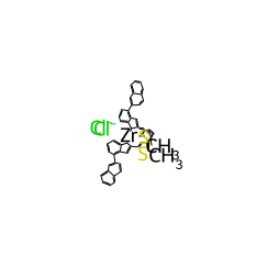 Cc1ccc(C2=Cc3c(-c4ccc5ccccc5c4)cccc3[CH]2[Zr+2][CH]2C(c3ccc(C)s3)=Cc3c(-c4ccc5ccccc5c4)cccc32)s1.[Cl-].[Cl-]